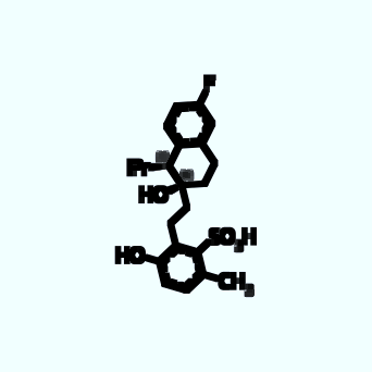 Cc1ccc(O)c(CC[C@@]2(O)CCc3cc(F)ccc3[C@@H]2C(C)C)c1S(=O)(=O)O